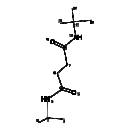 CC(C)NC(=O)CCC(=O)NC(C)(C)C